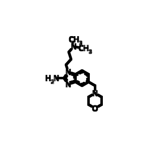 CN(C)CCCn1c(N)nc2cc(CN3CCOCC3)ccc21